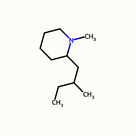 CCC(C)CC1CCCCN1C